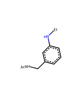 CCNc1cccc(CNC(C)=O)c1